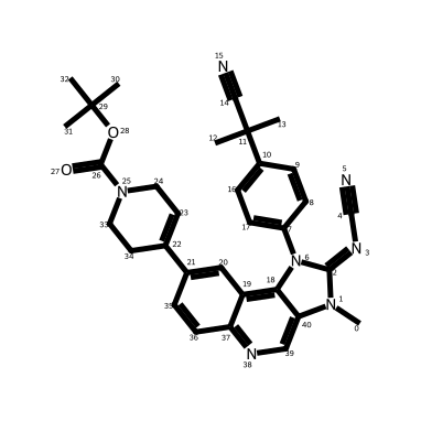 Cn1/c(=N/C#N)n(-c2ccc(C(C)(C)C#N)cc2)c2c3cc(C4=CCN(C(=O)OC(C)(C)C)CC4)ccc3ncc21